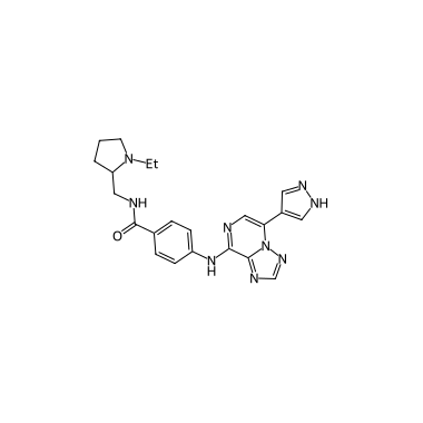 CCN1CCCC1CNC(=O)c1ccc(Nc2ncc(-c3cn[nH]c3)n3ncnc23)cc1